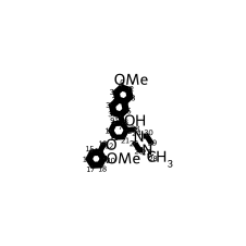 COc1ccc2cc(C3(O)CCC(OCc4ccccc4OC)CC3CN3CCN(C)CC3)ccc2c1